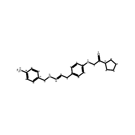 O=C(COc1ccc(CC=NOCc2ccc(C(F)(F)F)cc2)cc1)C1CCCC1